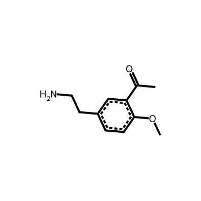 COc1ccc(CCN)cc1C(C)=O